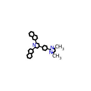 Cc1cc(C)nc(-c2ccc(-c3cc(-c4ccc5ccccc5c4)nc(-c4ccc5ccccc5c4)c3)cc2)n1